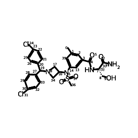 Cc1cc(C(=O)N[C@@H](CO)C(N)=O)cc(N(C2CN(C(c3ccc(Cl)cc3)c3ccc(Cl)cc3)C2)S(C)(=O)=O)c1